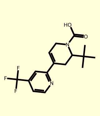 CC(C)(C)C1CC(c2cc(C(F)(F)F)ccn2)=CCN1C(=O)O